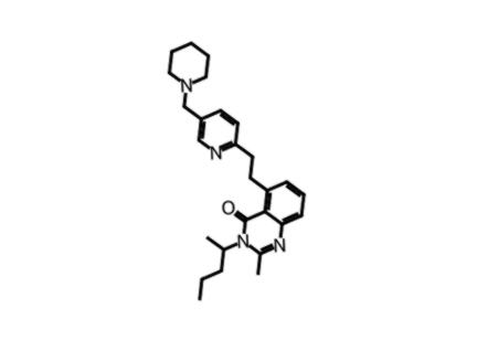 CCCC(C)n1c(C)nc2cccc(CCc3ccc(CN4CCCCC4)cn3)c2c1=O